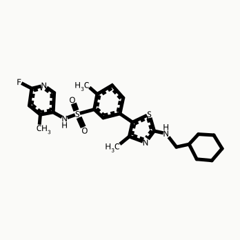 Cc1cc(F)ncc1NS(=O)(=O)c1cc(-c2sc(NCC3CCCCC3)nc2C)ccc1C